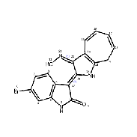 O=C1Nc2cc(Br)ccc2/C1=C1/NC2=C(C=CC=CC2)/C1=N/O